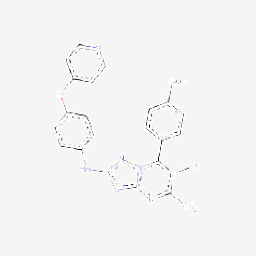 COc1ccc(-c2c(C#N)c(C)nc3nc(Nc4ccc(Oc5ccncc5)cc4)nn23)cc1